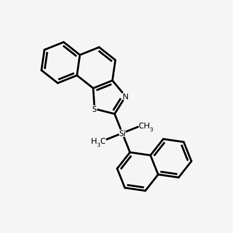 C[Si](C)(c1nc2ccc3ccccc3c2s1)c1cccc2ccccc12